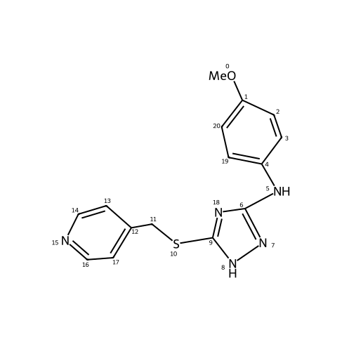 COc1ccc(Nc2n[nH]c(SCc3ccncc3)n2)cc1